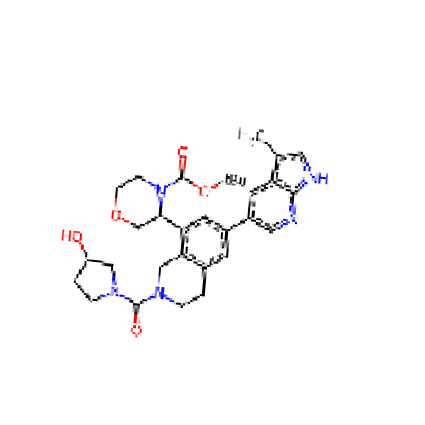 Cc1c[nH]c2ncc(-c3cc4c(c(C5COCCN5C(=O)OC(C)(C)C)c3)CN(C(=O)N3CCC(O)C3)CC4)cc12